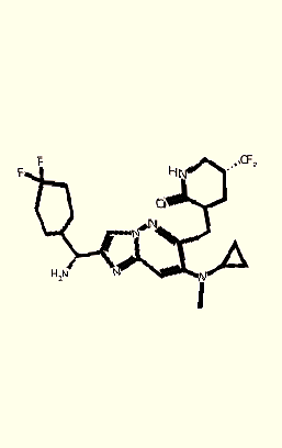 CN(c1cc2nc([C@@H](N)C3CCC(F)(F)CC3)cn2nc1CC1C[C@@H](C(F)(F)F)CNC1=O)C1CC1